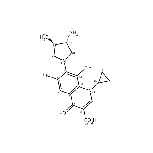 C[C@@H]1CN(c2c(F)cc3c(=O)c(C(=O)O)cn(C4CC4)c3c2F)C[C@H]1N